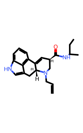 C=CCN1C[C@H](C(=O)NC(C)CC)C=C2c3cccc4[nH]cc(c34)C[C@H]21